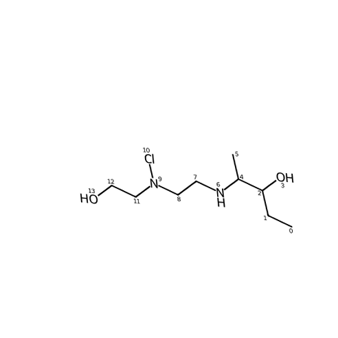 CCC(O)C(C)NCCN(Cl)CCO